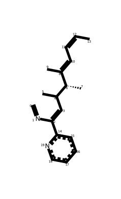 C=NC(=CC(C)[C@@H](C)/C(C)=C/C=C\C)c1ccccn1